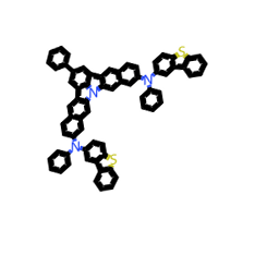 c1ccc(-c2cc3c4cc5ccc(N(c6ccccc6)c6ccc7sc8ccccc8c7c6)cc5cc4n4c5cc6cc(N(c7ccccc7)c7ccc8sc9ccccc9c8c7)ccc6cc5c(c2)c34)cc1